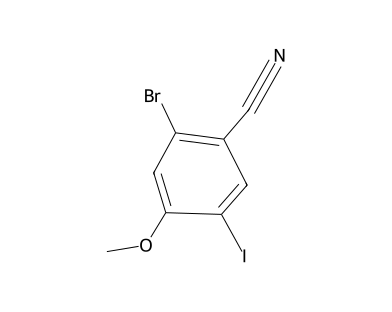 COc1cc(Br)c(C#N)cc1I